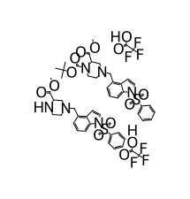 COC(=O)C1CN(Cc2cccc3c2ccn3S(=O)(=O)c2ccccc2)CCN1.COC(=O)C1CN(Cc2cccc3c2ccn3S(=O)(=O)c2ccccc2)CCN1C(=O)OC(C)(C)C.O=C(O)C(F)(F)F.O=C(O)C(F)(F)F